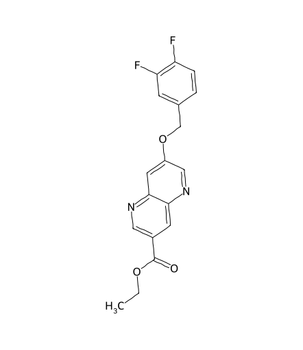 CCOC(=O)c1cnc2cc(OCc3ccc(F)c(F)c3)cnc2c1